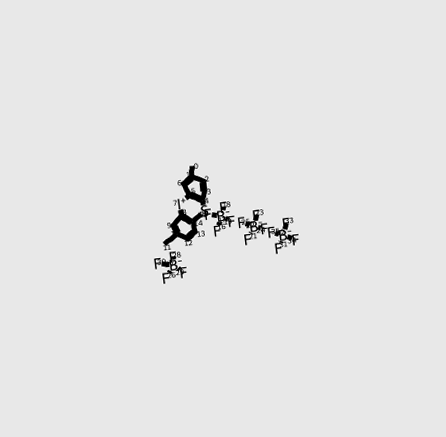 Cc1ccc2c(c1)[I+]c1cc(C)ccc1S2.F[B-](F)(F)F.F[B-](F)(F)F.F[B-](F)(F)F.F[B-](F)(F)F